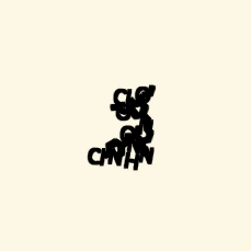 CCOc1cc(CN2CCC(C#N)(NC(=O)c3ccc(Cl)nc3)CC2)cc(OCC)c1Cl